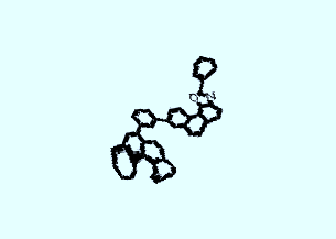 c1ccc(-c2nc3ccc4ccc5cc(-c6cccc(-c7cc8ccccc8c8c7ccc7ccccc78)c6)ccc5c4c3o2)cc1